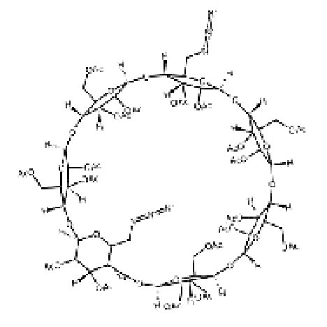 CC(=O)OCC1O[C@@H]2O[C@@H]3C(CN=[N+]=[N-])O[C@H](O[C@@H]4C(COC(C)=O)O[C@@H](O[C@@H]5C(COC(C)=O)O[C@@H](O[C@@H]6C(CN=[N+]=[N-])O[C@@H](O[C@@H]7C(COC(C)=O)O[C@H](O[C@@H]8C(COC(C)=O)O[C@H](O[C@H]1[C@H](OC(C)=O)C2OC(C)=O)C(OC(C)=O)[C@H]8OC(C)=O)C(OC(C)=O)[C@@H]7OC(C)=O)C(OC(C)=O)[C@@H]6OC(C)=O)C(OC(C)=O)[C@@H]5OC(C)=O)C(OC(C)=O)[C@H]4OC(C)=O)C(OC(C)=O)[C@H]3OC(C)=O